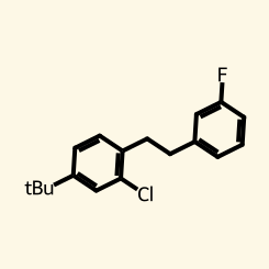 CC(C)(C)c1ccc(CCc2cccc(F)c2)c(Cl)c1